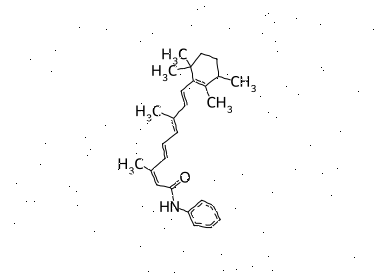 CC1=C(/C=C/C(C)=C/C=C/C(C)=C\C(=O)Nc2ccccc2)C(C)(C)CCC1C